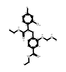 CCOC(=O)c1ccc(CC(C(=O)OCC)c2ccc(C)cc2Cl)c(OCOC)c1